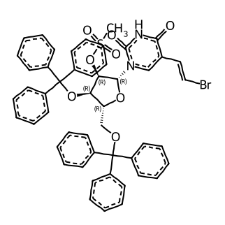 CS(=O)(=O)O[C@@H]1[C@H](OC(c2ccccc2)(c2ccccc2)c2ccccc2)[C@@H](COC(c2ccccc2)(c2ccccc2)c2ccccc2)O[C@H]1n1cc(C=CBr)c(=O)[nH]c1=O